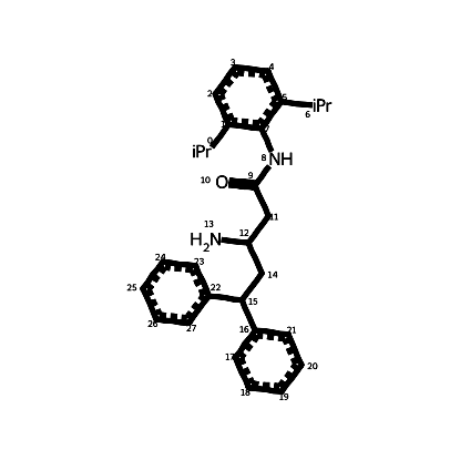 CC(C)c1cccc(C(C)C)c1NC(=O)CC(N)CC(c1ccccc1)c1ccccc1